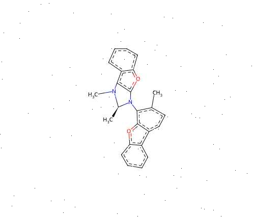 Cc1ccc2c(oc3ccccc32)c1N1c2oc3ccccc3c2N(C)[C@@H]1C